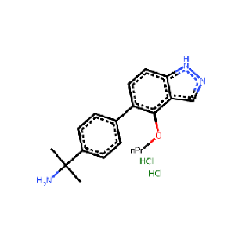 CCCOc1c(-c2ccc(C(C)(C)N)cc2)ccc2[nH]ncc12.Cl.Cl